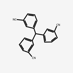 N#Cc1cccc([C](c2cccc(C#N)c2)c2cccc(C#N)c2)c1